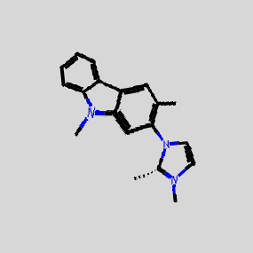 Cc1cc2c3ccccc3n(C)c2cc1N1C=CN(C)[C@@H]1C